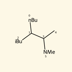 CCCCC(C(C)CC)C(C)NC